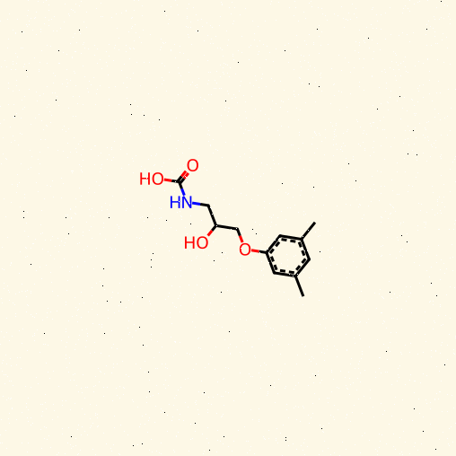 Cc1cc(C)cc(OCC(O)CNC(=O)O)c1